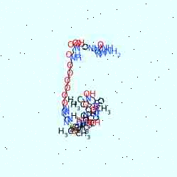 CCC[C@H]1C[C@](C(=O)OC)(c2cc3c(cc2OC)N(C)[C@H]2[C@@](O)(C(=O)NCCC[Si](C)(C)O[Si](C)(C)CSc4ncc(Cn5cc(COCCOCCOCCOCCOCCOCCNC(=O)CC[C@H](NC(=O)c6ccc(NCc7cnc8nc(N)[nH]c(=O)c8n7)cc6)C(=O)O)nn5)cn4)[C@H](O)[C@]4(CC)C=CCN5CC[C@]32[C@@H]54)c2[nH]c3ccccc3c2CCN1CO